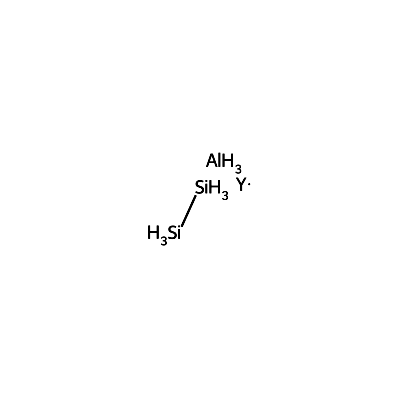 [AlH3].[SiH3][SiH3].[Y]